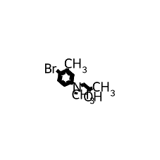 Cc1cc(N(C)CC(C)O)ccc1Br